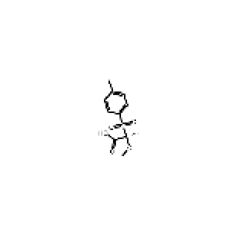 CO[C@@](C)(C(=O)O)S(=O)(=O)c1ccc(C)cc1